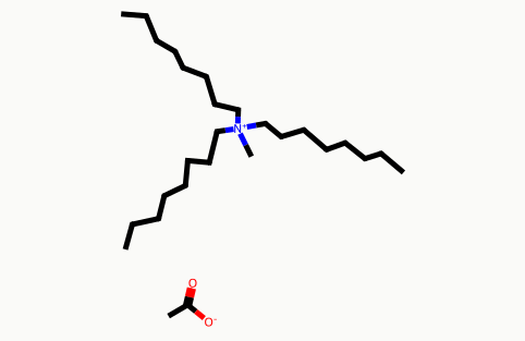 CC(=O)[O-].CCCCCCCC[N+](C)(CCCCCCCC)CCCCCCCC